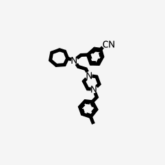 Cc1cccc(CN2CCN(CCN(Cc3cccc(C#N)c3)C3CCCCCC3)CC2)c1